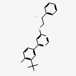 N[C@@H](CNc1cc(-c2ccc(Cl)c(C(F)(F)F)c2)ncn1)c1ccccc1